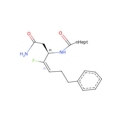 CCCCCCCC(=O)N[C@H](CC(N)=O)/C(F)=C\CCc1ccccc1